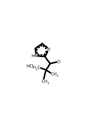 CC(C)(C)C(Cl)c1ncc[nH]1.Cl